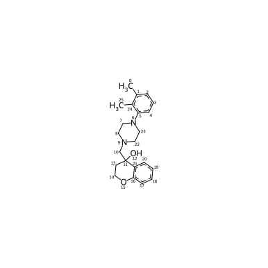 Cc1cccc(N2CCN(CC3(O)CCOc4ccccc43)CC2)c1C